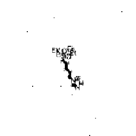 CCO[Si](CCCCCn1cnnn1)(OCC)OCC